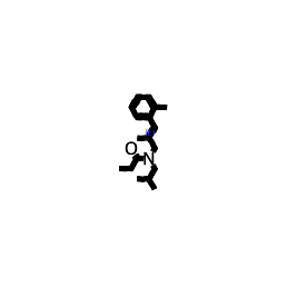 CCC(=O)N(C/C(C)=C/c1ccccc1C)CC(C)C